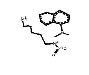 CN(C)c1cccc2ccccc12.NCCCCCN[SH](=O)=O